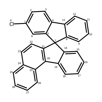 Clc1ccc2c(c1)C1(c3ccccc3-2)c2ccccc2-c2c1ccc1ccccc21